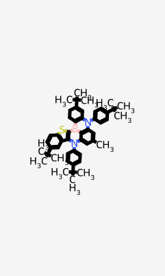 Cc1cc2c3c(c1)N(c1ccc(C(C)(C)C)cc1)c1c(sc4ccc(C(C)(C)C)cc14)B3C1=C(C=C(C(C)(C)C)CC1)N2c1ccc(C(C)(C)C)cc1